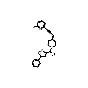 Cc1cccc(C#CC=C2CCN(C(=O)c3cc(-c4ccccc4)on3)CC2)n1